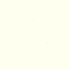 C[N-]C.C[N-]C.[Ti+2][C]1=CC=CC1